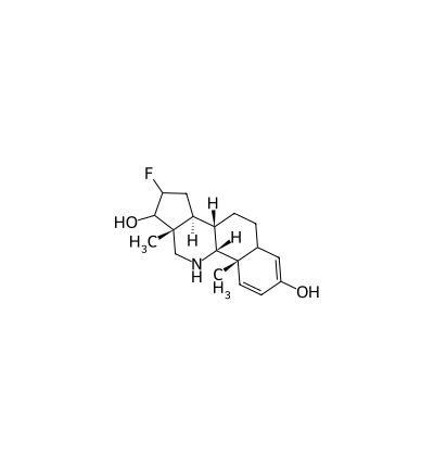 C[C@]12C=CC(O)=CC1CC[C@@H]1[C@H]2NC[C@]2(C)C(O)C(F)C[C@@H]12